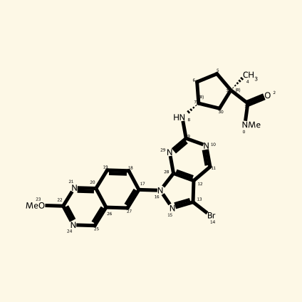 CNC(=O)[C@]1(C)CC[C@@H](Nc2ncc3c(Br)nn(-c4ccc5nc(OC)ncc5c4)c3n2)C1